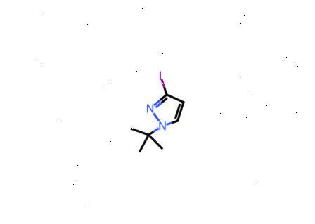 CC(C)(C)n1ccc(I)n1